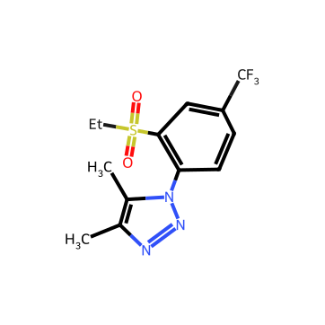 CCS(=O)(=O)c1cc(C(F)(F)F)ccc1-n1nnc(C)c1C